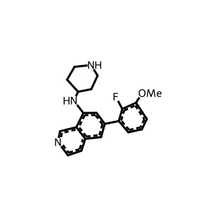 COc1cccc(-c2cc(NC3CCNCC3)c3cnccc3c2)c1F